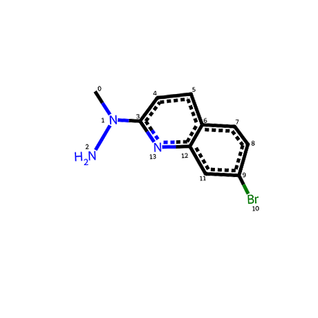 CN(N)c1ccc2ccc(Br)cc2n1